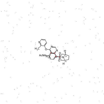 CC(=O)Nc1ccc(S(=O)(=O)N2[C@H]3CC[C@H]2CC(Oc2ncnc(Oc4cccnc4C)c2C)C3)cc1